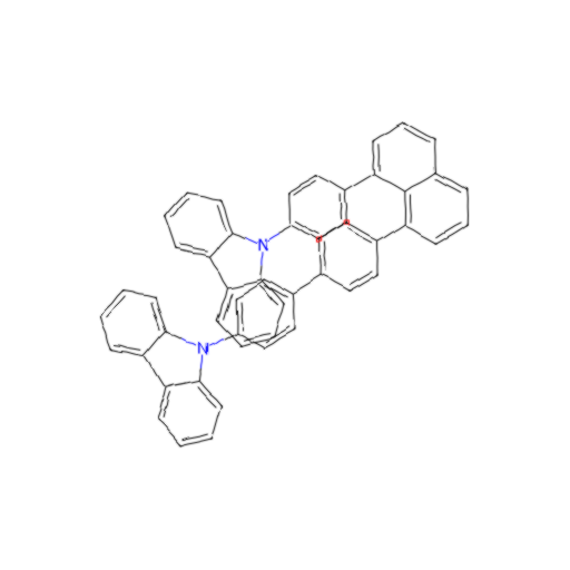 c1cc(-c2ccc(-c3ccc(-n4c5ccccc5c5ccccc54)cc3)cc2)c2c(-c3ccc(-n4c5ccccc5c5ccccc54)cc3)cccc2c1